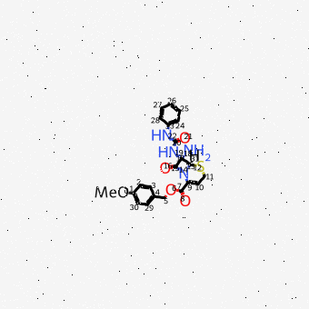 COc1ccc(COC(=O)C2=CCS[C@@H]3N2C(=O)C3(N)NC(=O)Nc2ccccc2)cc1